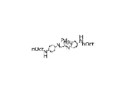 CCCCCCCCNc1ccc(/N=C/C(CCCC)=N/c2ccc(NCCCCCCCC)cc2)cc1.[Pd]